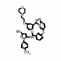 Cc1ccc(-n2nc(C(C)(C)C)cc2NC(=O)c2cccc(Sc3ccc4nnc(-c5cccc(OCCN6CCOCC6)c5)n4c3)c2)cc1